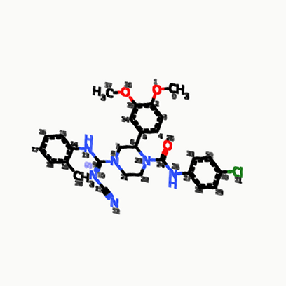 COc1ccc(C2CN(/C(=N\C#N)Nc3ccccc3C)CCN2C(=O)Nc2ccc(Cl)cc2)cc1OC